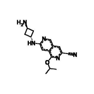 CC(C)Oc1nc(C#N)cc2cnc(N[C@H]3C[C@H](N)C3)cc12